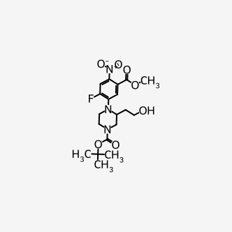 COC(=O)c1cc(N2CCN(C(=O)OC(C)(C)C)CC2CCO)c(F)cc1[N+](=O)[O-]